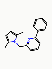 Cc1ccc(C)n1Cc1cccc(-c2ccccc2)n1